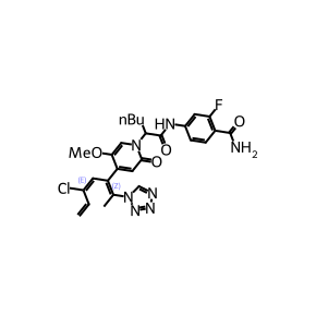 C=C/C(Cl)=C\C(=C(/C)n1cnnn1)c1cc(=O)n(C(CCCC)C(=O)Nc2ccc(C(N)=O)c(F)c2)cc1OC